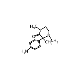 CN1CCN(C)C(C)(c2ccc(N)cc2)C1=O